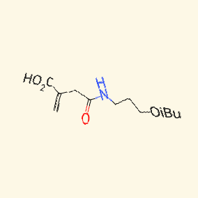 C=C(CC(=O)NCCCOCC(C)C)C(=O)O